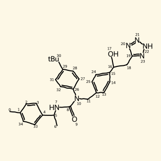 Cc1ccc(C(C)NC(=O)N(Cc2ccc(C(O)Cc3nn[nH]n3)cc2)c2ccc(C(C)(C)C)cc2)cc1